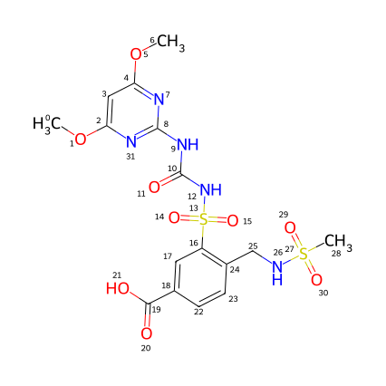 COc1cc(OC)nc(NC(=O)NS(=O)(=O)c2cc(C(=O)O)ccc2CNS(C)(=O)=O)n1